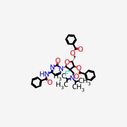 CC(C)N(CC1(F)C(OC(=O)c2ccccc2)[C@@H](COC(=O)c2ccccc2)O[C@H]1n1ccc(NC(=O)c2ccccc2)nc1=O)C(C)C